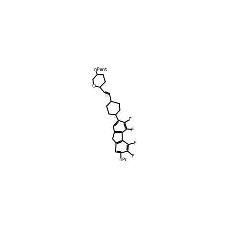 CCCCCC1CCC(/C=C/C2CCC(c3cc4c(c(F)c3F)-c3c(cc(CCC)c(F)c3F)C4)CC2)OC1